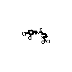 O=C(Cl)c1ccc(C(=O)NCc2ccc(Cl)c(Cl)c2)s1